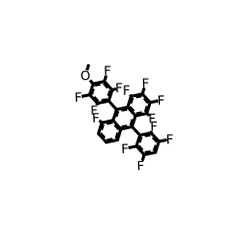 COc1c(F)c(F)c(-c2c3c(F)cccc3c(-c3c(F)c(F)cc(F)c3F)c3c(F)c(F)c(F)c(F)c23)c(F)c1F